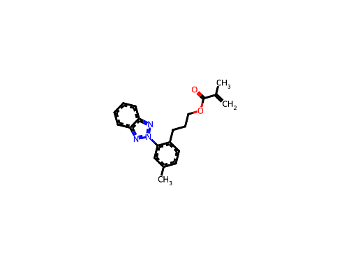 C=C(C)C(=O)OCCCc1ccc(C)cc1-n1nc2ccccc2n1